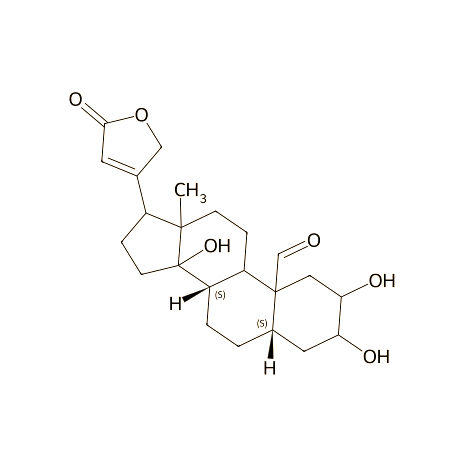 CC12CCC3[C@H](CC[C@H]4CC(O)C(O)CC34C=O)C1(O)CCC2C1=CC(=O)OC1